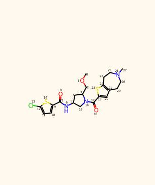 COCC1CC(NC(=O)c2ccc(Cl)s2)CN1C(=O)c1cc2c(s1)CCN(C)CC2